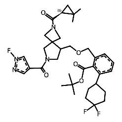 CC(C)(C)OC(=O)c1c(COCC2CN(C(=O)c3cnn(F)c3)CC23CN(C(=O)[C@H]2CC2(C)C)C3)cccc1C1CCC(F)(F)CC1